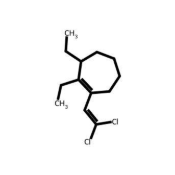 CCC1=C(C=C(Cl)Cl)CCCCC1CC